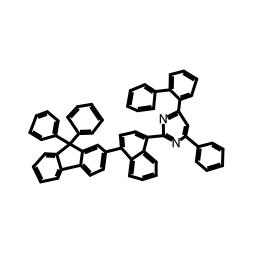 c1ccc(-c2cc(-c3ccccc3-c3ccccc3)nc(-c3ccc(-c4ccc5c(c4)C(c4ccccc4)(c4ccccc4)c4ccccc4-5)c4ccccc34)n2)cc1